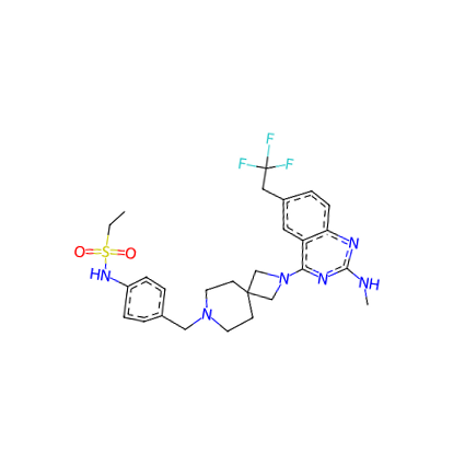 CCS(=O)(=O)Nc1ccc(CN2CCC3(CC2)CN(c2nc(NC)nc4ccc(CC(F)(F)F)cc24)C3)cc1